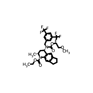 CCOC(=O)N1c2cc3c(cc2[C@@H](N(Cc2cc(C(F)(F)F)cc(C(F)(F)F)c2)C(=O)OCCOC)C[C@H]1C)CCC3